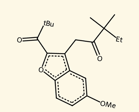 CCC(C)(C)C(=O)Cc1c(C(=O)C(C)(C)C)oc2ccc(OC)cc12